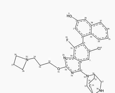 Oc1cc(-c2c(Cl)cc3c(N4CC5CCCC4CN5)nc(OCCCN4CCC4)nc3c2F)c2ccccc2c1